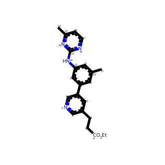 CCOC(=O)CCc1cncc(-c2cc(C)cc(Nc3nccc(C)n3)c2)c1